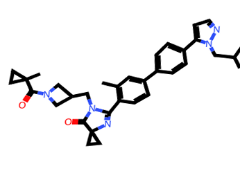 Cc1cc(-c2ccc(-c3ccnn3CC(C)C)cc2)ccc1C1=NC2(CC2)C(=O)N1CC1CN(C(=O)C2(C)CC2)C1